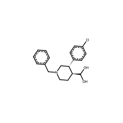 OC(O)[C@H]1CCN(Cc2ccccc2)C[C@@H]1c1ccc(Cl)cc1